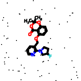 CC1(C)OC(=O)c2c(OCc3cccnc3N3CCC(F)C3)cccc2O1